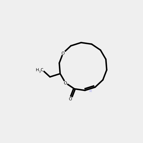 CCC1COCCCCCCC/C=C\C(=O)O1